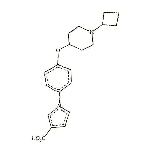 O=C(O)c1ccn(-c2ccc(OC3CCN(C4CCC4)CC3)cc2)c1